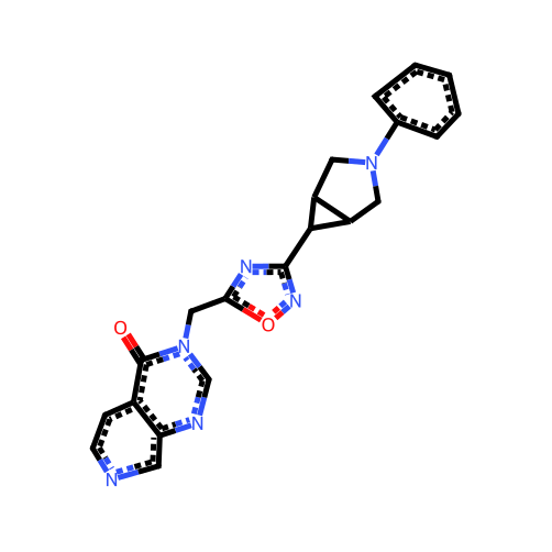 O=c1c2ccncc2ncn1Cc1nc(C2C3CN(c4ccccc4)CC32)no1